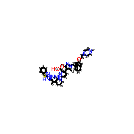 CC1=C(Nc2nc3ccccc3s2)NNC2=C1CCCN2c1ccc(-c2cnn(CC34CC5CC(C3)CC(OCCN3CCN(C)CC3)(C5)C4)c2C)c(C(=O)O)n1